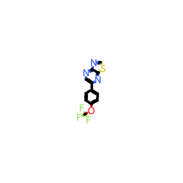 FC(F)(F)Oc1ccc(-c2cnc3ncsc3n2)cc1